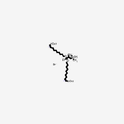 CCCCCCCC/C=C\CCCCCCCCOC(CC)(OCCCCCCCC/C=C\CCCCCCCC)C(CC)C[N+](C)(C)O.[Br-]